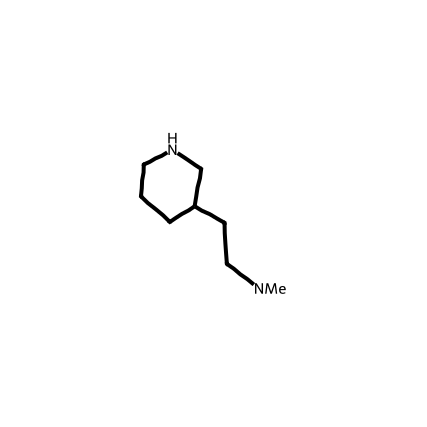 CNCCC1CCCNC1